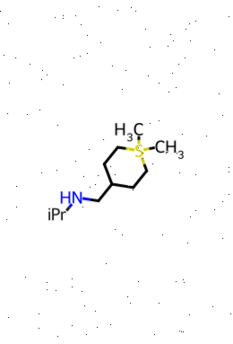 CC(C)NCC1CCS(C)(C)CC1